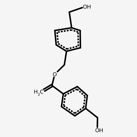 C=C(OCc1ccc(CO)cc1)c1ccc(CO)cc1